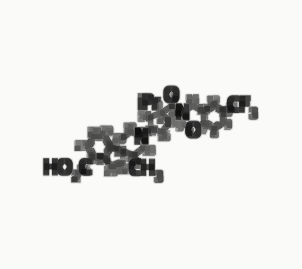 CC(C)[C@]1(C(=O)N2COc3ccc(C(F)(F)F)cc3C2)CC[C@@H](N2CC[C@@]3(C=Cc4c(C(=O)O)cccc43)[C@@H](C)C2)C1